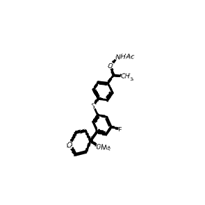 COC1(c2cc(F)cc(Sc3ccc(C(C)ONC(C)=O)cc3)c2)CCOCC1